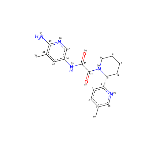 Cc1ccc([C@H]2CCCCN2C(=O)C(=O)Nc2cnc(N)c(C)c2)nc1